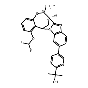 CCOC(=O)[C@@H]1Sc2cccc(OC(F)F)c2C2C[C@@H]1c1nc3ccc(-c4cnc(C(C)(C)O)nc4)cc3n12